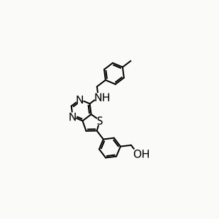 Cc1ccc(CNc2ncnc3cc(-c4cccc(CO)c4)sc23)cc1